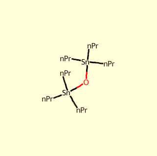 CC[CH2][Sn]([CH2]CC)([CH2]CC)[O][Sn]([CH2]CC)([CH2]CC)[CH2]CC